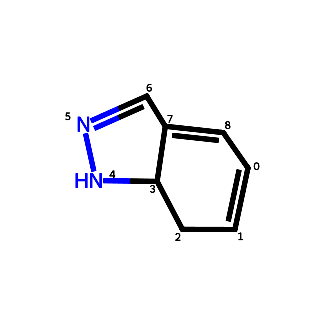 C1=CCC2NN=CC2=C1